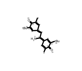 CC1=CC(=CC(N)=C2C=C(C)C(=O)C(C(C)(C)C)=C2)C=C(C(C)(C)C)C1=O